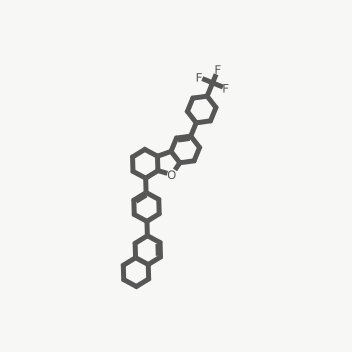 FC(F)(F)C1CCC(C2=CC3C(CC2)OC2C(C4=CCC(C5C=CC6CCCCC6C5)CC4)CCCC32)CC1